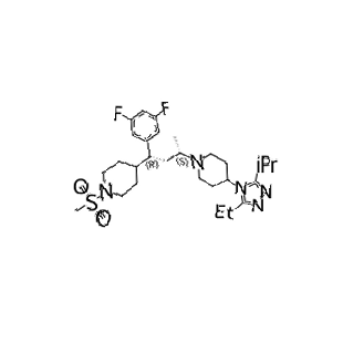 CCc1nnc(C(C)C)n1C1CCN([C@@H](C)C[C@@H](c2cc(F)cc(F)c2)C2CCN(S(C)(=O)=O)CC2)CC1